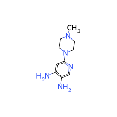 CN1CCN(c2cc(N)c(N)cn2)CC1